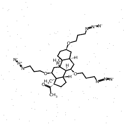 CC(=O)[C@H]1CC[C@H]2[C@@H]3[C@H](OCCCN=[N+]=[N-])C[C@@H]4C[C@H](OCCCN=[N+]=[N-])CC[C@]4(C)[C@H]3C[C@H](OCCCN=[N+]=[N-])[C@]12C